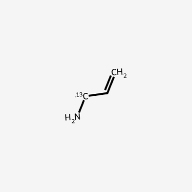 C=C[13CH]N